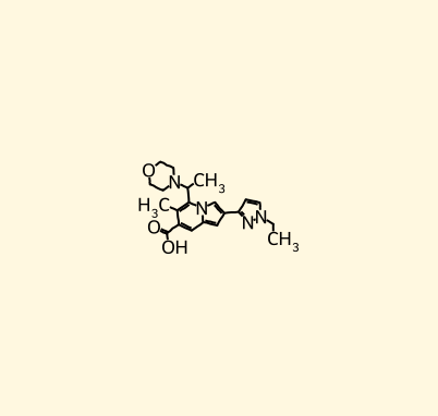 CCn1ccc(-c2cc3cc(C(=O)O)c(C)c(C(C)N4CCOCC4)n3c2)n1